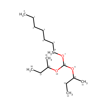 CCCCCC[SiH2]OC(OC(C)CC)OC(C)CC